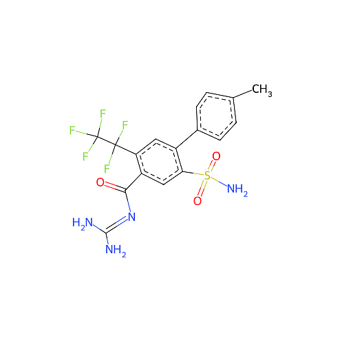 Cc1ccc(-c2cc(C(F)(F)C(F)(F)F)c(C(=O)N=C(N)N)cc2S(N)(=O)=O)cc1